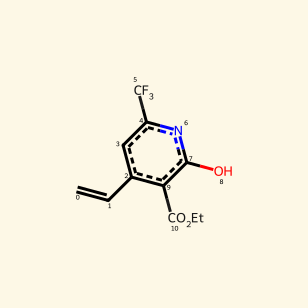 C=Cc1cc(C(F)(F)F)nc(O)c1C(=O)OCC